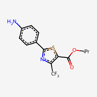 CC(C)OC(=O)c1sc(-c2ccc(N)cc2)nc1C(F)(F)F